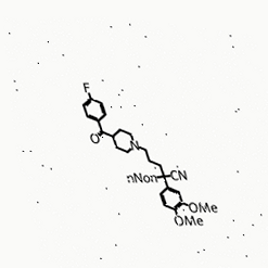 CCCCCCCCCC(C#N)(CCCN1CCC(C(=O)c2ccc(F)cc2)CC1)c1ccc(OC)c(OC)c1